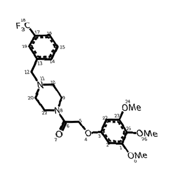 COc1cc(OCC(=O)N2CCN(Cc3cccc(C(F)(F)F)c3)CC2)cc(OC)c1OC